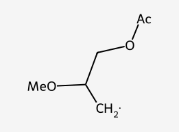 [CH2]C(COC(C)=O)OC